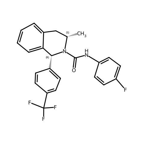 C[C@H]1Cc2ccccc2[C@@H](c2ccc(C(F)(F)F)cc2)N1C(=O)Nc1ccc(F)cc1